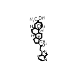 C[C@@]1(O)CC[C@@]2(C)[C@@H](CC[C@@H]3[C@@H]2CC[C@]2(C)[C@@H](C(=O)Cn4ncc5nccnc54)CC[C@@H]32)C1